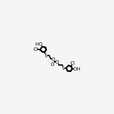 O=C(OCCSc1ccc(O)c(Cl)c1)OCCSc1ccc(O)c(Cl)c1